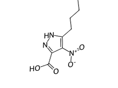 CCCCc1[nH]nc(C(=O)O)c1[N+](=O)[O-]